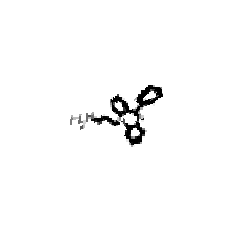 NC=CCN1c2ccccc2N=C(c2ccccc2)c2ccccc21